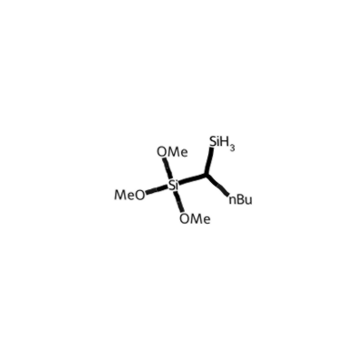 CCCCC([SiH3])[Si](OC)(OC)OC